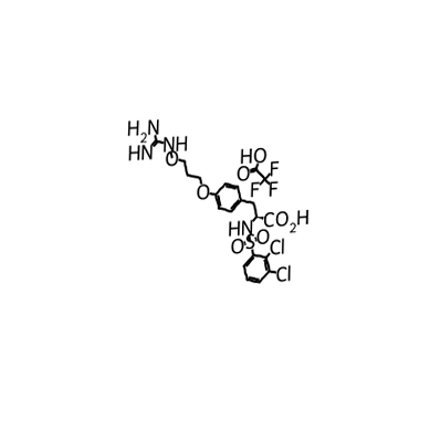 N=C(N)NOCCCOc1ccc(C[C@H](NS(=O)(=O)c2cccc(Cl)c2Cl)C(=O)O)cc1.O=C(O)C(F)(F)F